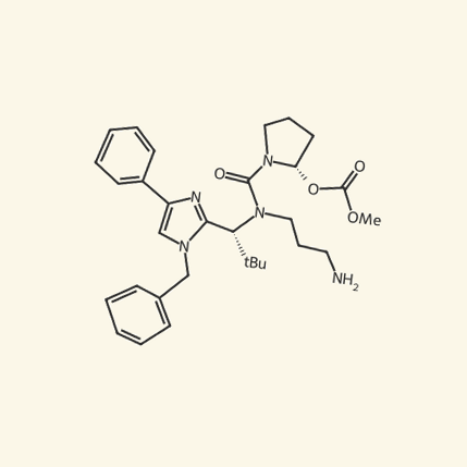 COC(=O)O[C@H]1CCCN1C(=O)N(CCCN)[C@@H](c1nc(-c2ccccc2)cn1Cc1ccccc1)C(C)(C)C